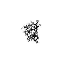 CCN1CCC(C(=O)NCc2cc(F)ccc2S(=O)(=O)Nc2ccc(C(C)C(C)C)c(OC)c2C(=O)O)C1